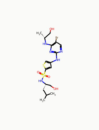 CC(C)C[C@@H](CO)NS(=O)(=O)c1cc(Nc2ncc(Br)c(N[C@H](C)CO)n2)cs1